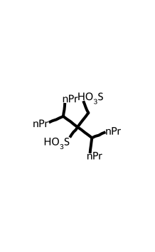 CCCC(CCC)C(CS(=O)(=O)O)(C(CCC)CCC)S(=O)(=O)O